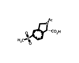 CC(=O)N1Cc2cc(S(C)(=O)=O)ccc2[C@H]1C(=O)O